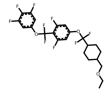 CCOCC1CCC(C(F)(F)Oc2cc(F)c(C(F)(F)Oc3cc(F)c(F)c(F)c3)c(F)c2)CC1